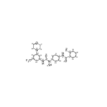 O=C(Nc1ccc(N(S)C(=O)Nc2cc(N3CCOCC3)cc(C(F)(F)F)c2)cc1)c1ccccc1F